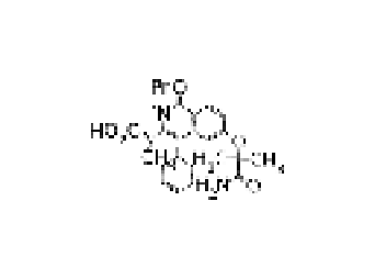 CC(C)Cn1c(N(C)C(=O)O)c(-c2ccccc2)c2cc(OC(C)(C)C(N)=O)ccc2c1=O